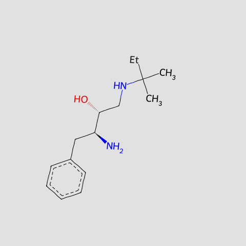 CCC(C)(C)NC[C@@H](O)[C@@H](N)Cc1ccccc1